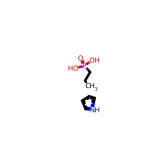 CCCP(=O)(O)O.c1cc[nH]c1